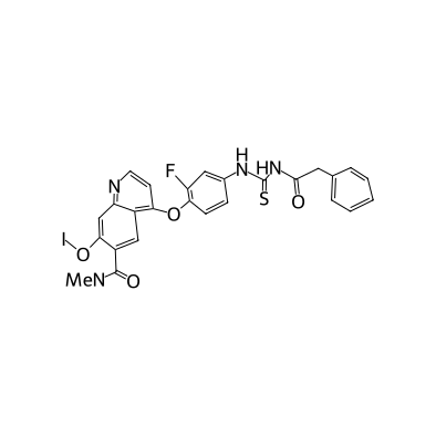 CNC(=O)c1cc2c(Oc3ccc(NC(=S)NC(=O)Cc4ccccc4)cc3F)ccnc2cc1OI